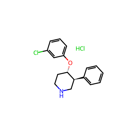 Cl.Clc1cccc(O[C@H]2CCNC[C@@H]2c2ccccc2)c1